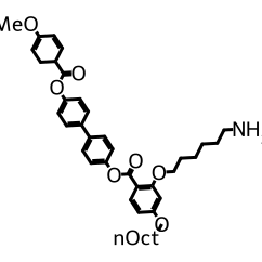 CCCCCCCCOc1ccc(C(=O)Oc2ccc(-c3ccc(OC(=O)C4C=CC(OC)=CC4)cc3)cc2)c(OCCCCCCN)c1